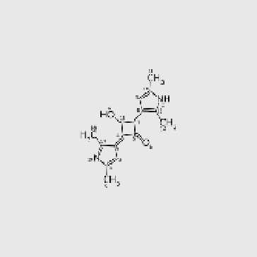 CC1=CC(=C2C(=O)C(c3cc(C)[nH]c3C)C2O)C(C)=N1